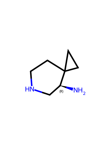 N[C@H]1CNCCC12CC2